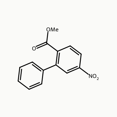 COC(=O)c1ccc([N+](=O)[O-])cc1-c1ccccc1